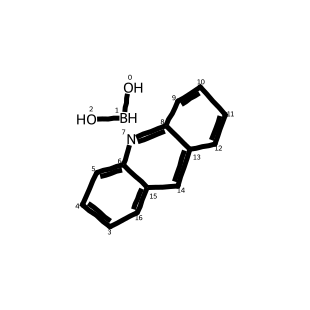 OBO.c1ccc2nc3ccccc3cc2c1